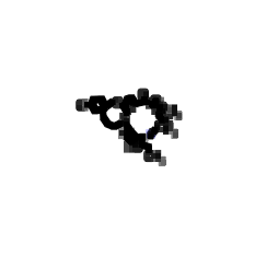 CC[C@H](O)[C@H]1/C=C/C[C@H](C)[C@@H](C)S(=O)(=O)NC(=O)c2ccc3c(c2)N(CCCCc2cc(Cl)ccc2CO3)C[C@@H]2CC[C@H]21